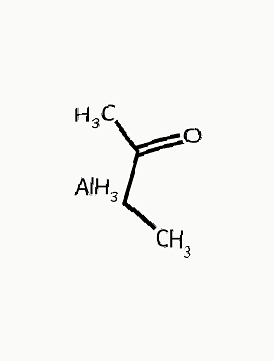 CCC(C)=O.[AlH3]